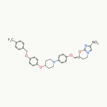 O=[N+]([O-])c1cn2c(n1)O[C@H](COc1ccc(N3CCC(Oc4ccc(OCc5ccc(C(F)(F)F)cc5)cc4)CC3)cc1)CC2